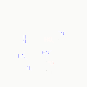 Cc1cnc(NC2CNC2)cc1C(=O)NCC(O)CN1CCc2ccccc2C1